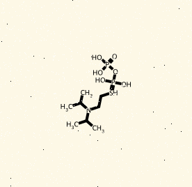 CC(C)N(CC[SH]=P(O)(O)OP(=O)(O)O)C(C)C